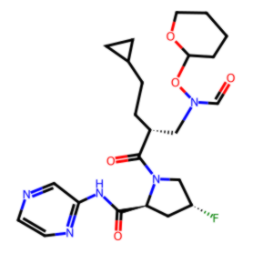 O=CN(C[C@@H](CCC1CC1)C(=O)N1C[C@H](F)C[C@H]1C(=O)Nc1cnccn1)OC1CCCCO1